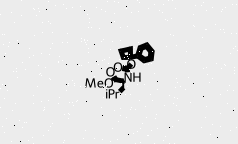 COC(=O)[C@H](CC(C)C)NC(=O)OC1(c2ccccc2)CCC1